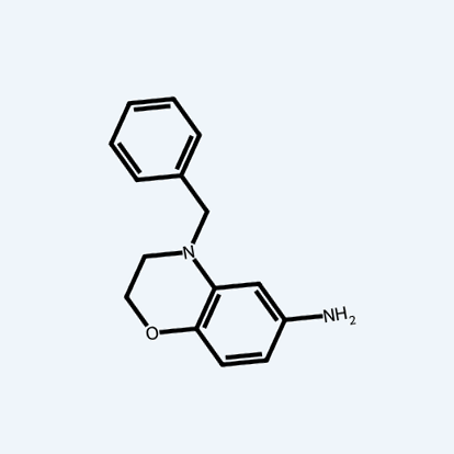 Nc1ccc2c(c1)N(Cc1ccccc1)CCO2